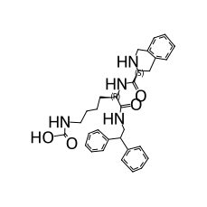 O=C(O)NCCCC[C@@H](NC(=O)[C@@H]1Cc2ccccc2CN1)C(=O)NCC(c1ccccc1)c1ccccc1